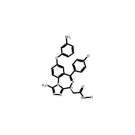 CCNC(=O)C[C@@H]1N=C(c2ccc(Cl)cc2)c2cc(Oc3cccc(N)c3)ccc2-n2c(C)nnc21